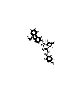 C=C1C[C@@H](C(=O)Nc2ccc3c(c2)c2ccccc2n3CC)N(C(=O)COc2ccc(Cl)cc2)C1